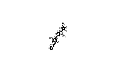 CO[C@H]1CN(c2nc(C(=O)NCCCN3CCCC3=O)c(C(=O)O)s2)CC[C@H]1NC(=O)c1[nH]c(C)c(Cl)c1Cl